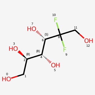 OC[C@@H](O)[C@@H](O)[C@H](O)C(F)(F)CO